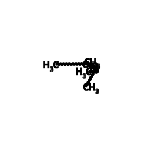 CCCCCCCCCCCCCCCCCCCCOC(C)c1ccc(C(=O)Oc2ccccc2C(CCC)CCCCCCCCCCC)cc1